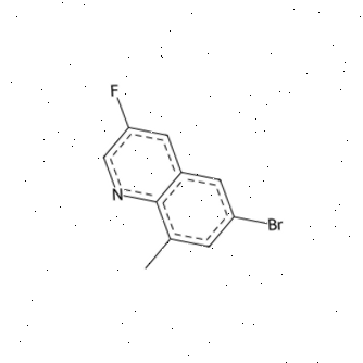 Cc1cc(Br)cc2cc(F)cnc12